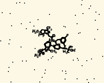 CC(C)C(C)(O)C#Cc1ccc(-c2cccc3c(NS(C)(=O)=O)nn(C)c23)c([C@H](Cc2cc(F)cc(F)c2)NC(=O)Cn2nc(C(F)(F)F)c3c2C(F)(F)[C@H](C)C3)n1